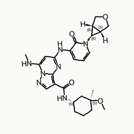 CNc1cc(Nc2cccn([C@H]3[C@@H]4COC[C@@H]43)c2=O)nc2c(C(=O)N[C@H]3CCC[C@](C)(OC)C3)cnn12